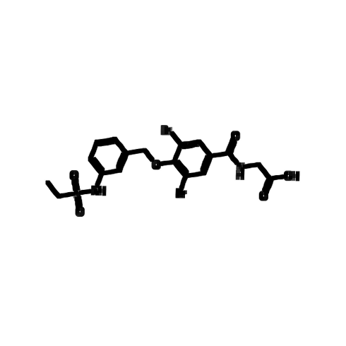 CCS(=O)(=O)Nc1cccc(COc2c(Br)cc(C(=O)NCC(=O)O)cc2Br)c1